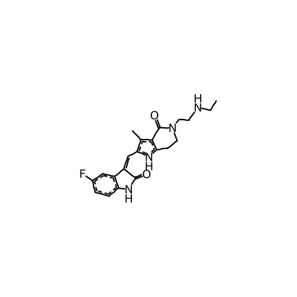 CCNCCN1CCc2[nH]c(/C=C3\C(=O)Nc4ccc(F)cc43)c(C)c2C1=O